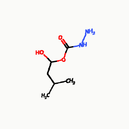 CC(C)CC(O)OC(=O)NN